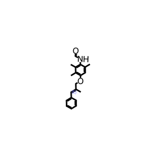 C/C(=C\c1ccccc1)COc1cc(C)c(NC=O)c(C)c1C